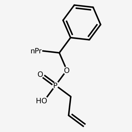 C=CCP(=O)(O)OC(CCC)c1ccccc1